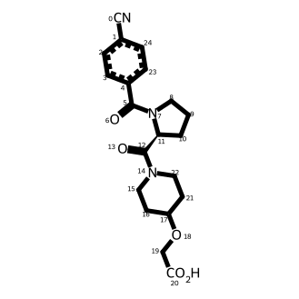 N#Cc1ccc(C(=O)N2CCC[C@H]2C(=O)N2CCC(OCC(=O)O)CC2)cc1